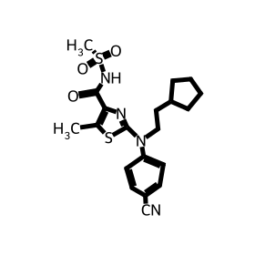 Cc1sc(N(CCC2CCCC2)c2ccc(C#N)cc2)nc1C(=O)NS(C)(=O)=O